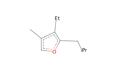 CCc1c(C)coc1CC(C)C